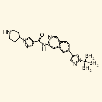 BC(B)(B)n1cc(-c2ccc3cnc(NC(=O)c4cnn(C5CCNCC5)c4)cc3c2)cn1